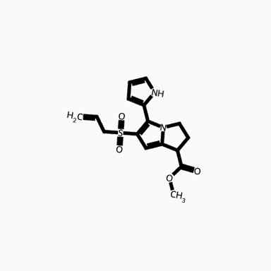 C=CCS(=O)(=O)c1cc2n(c1-c1ccc[nH]1)CCC2C(=O)OC